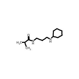 CC(C)C(=O)NCCCNC1CCCCC1